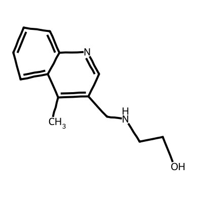 Cc1c(CNCCO)cnc2ccccc12